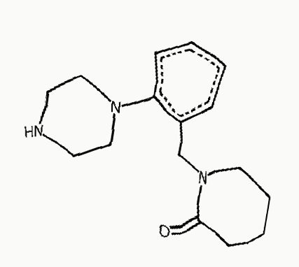 O=C1CCCCN1Cc1ccccc1N1CCNCC1